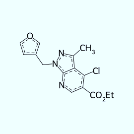 CCOC(=O)c1cnc2c(c(C)nn2Cc2ccoc2)c1Cl